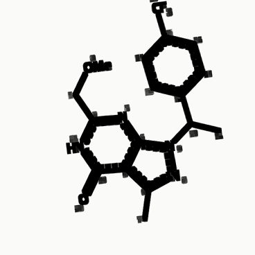 COCc1nc2c(c(C)nn2C(C)c2ccc(C(F)(F)F)cc2)c(=O)[nH]1